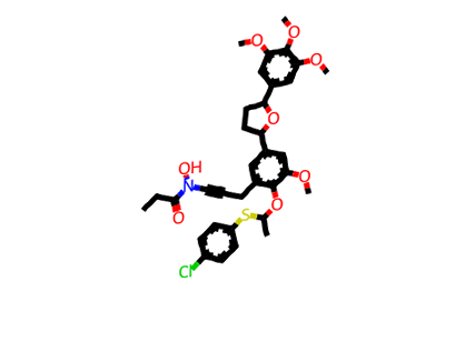 CCC(=O)N(O)C#CCc1cc(C2CCC(c3cc(OC)c(OC)c(OC)c3)O2)cc(OC)c1OC(C)Sc1ccc(Cl)cc1